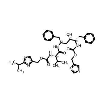 CC(C)c1nc(COC(=O)N[C@H](C(=O)N[C@@H](Cc2ccccc2)C[C@H](O)[C@H](Cc2ccccc2)NC(=O)OCc2cncs2)C(C)C)cs1